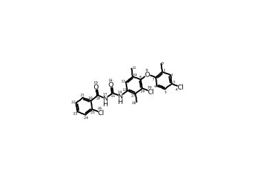 Cc1cc(Cl)ccc1Oc1c(C)cc(NC(=O)NC(=O)c2ccccc2Cl)c(C)c1Cl